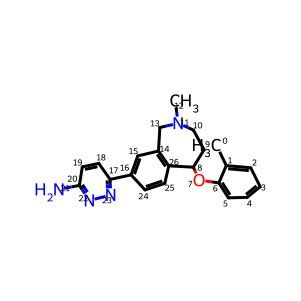 Cc1ccccc1OC1CCN(C)Cc2cc(-c3ccc(N)nn3)ccc21